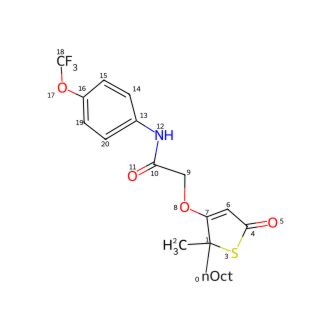 CCCCCCCCC1(C)SC(=O)C=C1OCC(=O)Nc1ccc(OC(F)(F)F)cc1